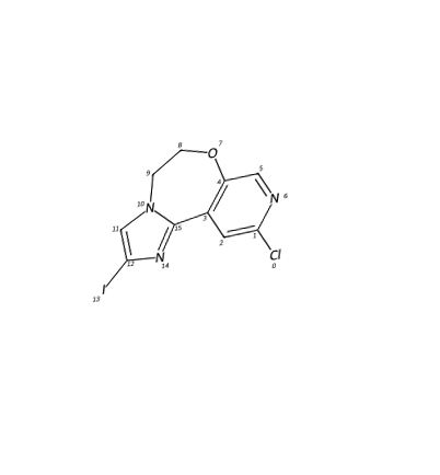 Clc1cc2c(cn1)OCCn1cc(I)nc1-2